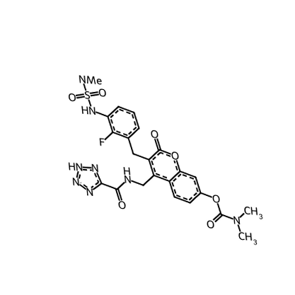 CNS(=O)(=O)Nc1cccc(Cc2c(CNC(=O)c3nn[nH]n3)c3ccc(OC(=O)N(C)C)cc3oc2=O)c1F